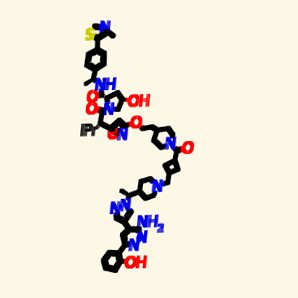 Cc1ncsc1-c1ccc([C@H](C)NC(=O)[C@@H]2C[C@@H](O)CN2C(=O)[C@H](c2cc(OCCC3CCN(C(=O)C4CC(CN5CCC([C@H](C)n6cc(-c7cc(-c8ccccc8O)nnc7N)cn6)CC5)C4)CC3)no2)C(C)C)cc1